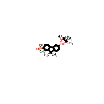 CC1(C)c2ccc(B3OC(C)(C)C(C)(C)O3)cc2-c2ccc(P(C)(C)=O)cc21